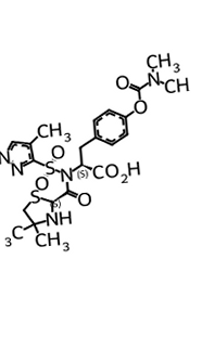 Cc1c[nH]nc1S(=O)(=O)N(C(=O)[C@H]1NC(C)(C)CS1)[C@@H](Cc1ccc(OC(=O)N(C)C)cc1)C(=O)O